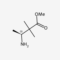 COC(=O)C(C)(C)[C@H](C)N